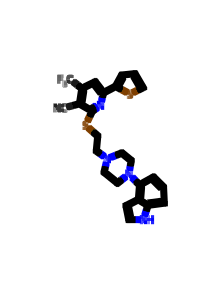 N#Cc1c(C(F)(F)F)cc(-c2cccs2)nc1SCCN1CCN(c2cccc3[nH]ccc23)CC1